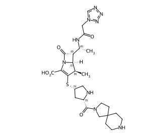 C[C@@H](NC(=O)Cn1cnnn1)[C@H]1C(=O)N2C(C(=O)O)=C(S[C@@H]3CN[C@H](C(=O)N4CCC5(CCNCC5)C4)C3)[C@H](C)[C@H]12